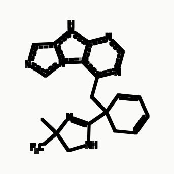 CC1(C(F)(F)F)CNC(C2(Cc3ncnc4[nH]c5cncn5c34)C=CC=CC2)=N1